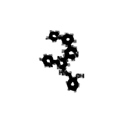 Oc1ccccc1CNc1cc(-c2cncc(-c3cccc(N4CCCC4)c3)c2)nc(-c2ccccn2)n1